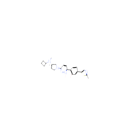 Cc1ncc(-c2ccc(-c3ccc(N4CC[C@@H](N(C)C5CCC5)C4)nn3)c(O)c2)s1